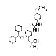 COc1ccc(NC(=O)Nc2ccc(OC(c3ccccc3)c3ccccc3)c(CC(C)C)c2)cc1